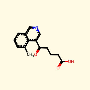 Cc1cccc2cncc(C(=O)CCCC(=O)O)c12